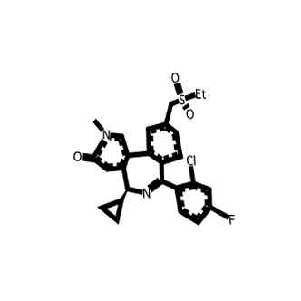 CCS(=O)(=O)Cc1ccc2c(c1)-c1cn(C)c(=O)cc1[C@H](C1CC1)N=C2c1ccc(F)cc1Cl